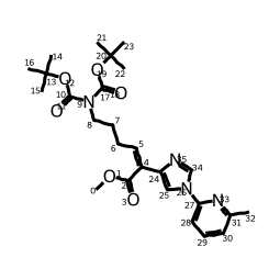 COC(=O)/C(=C\CCCN(C(=O)OC(C)(C)C)C(=O)OC(C)(C)C)c1cn(-c2cccc(C)n2)cn1